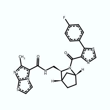 Cc1nc2sccn2c1C(=O)NC[C@@H]1[C@H]2CC[C@H](C2)N1C(=O)c1ncsc1-c1ccc(F)cc1